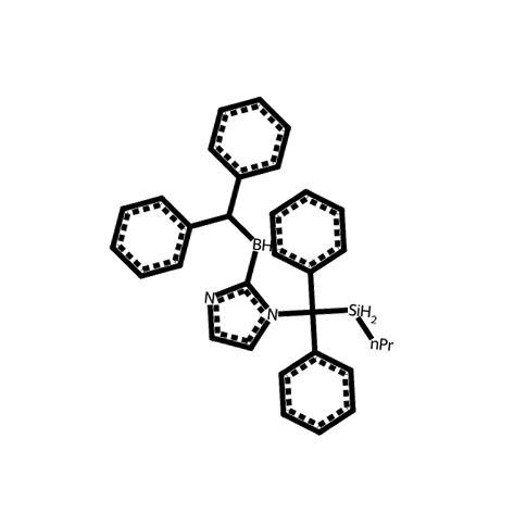 CCC[SiH2]C(c1ccccc1)(c1ccccc1)n1ccnc1BC(c1ccccc1)c1ccccc1